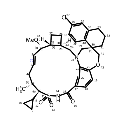 CO[C@H]1/C=C/C[C@@H](C)[C@H](C2CC2)S(=O)(=O)NC(=O)c2ccc3c(c2)N(C[C@@H]2CC[C@H]21)C[C@@]1(CCCc2cc(Cl)ccc21)CO3